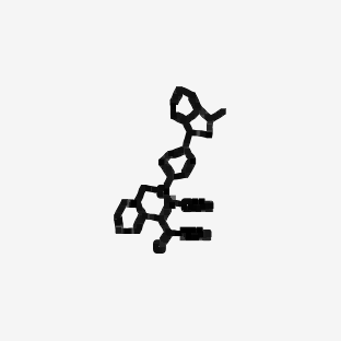 CNC(=O)C(=NOC)c1ccccc1COc1ccc(C2CC(C)c3ccccc32)cc1